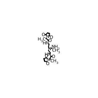 CC(N)N(CCNC(=O)C(C)N1C(=O)C=CC1=O)CCNC(=O)C(C)N1C(=O)C=CC1=O